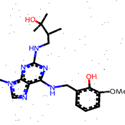 COc1cccc(CNc2nc(NCC(C)C(C)(C)O)nc3c2ncn3C)c1O